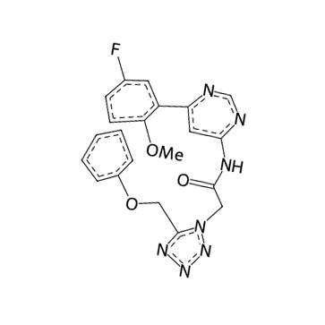 COc1ccc(F)cc1-c1cc(NC(=O)Cn2nnnc2COc2ccccc2)ncn1